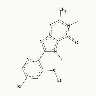 CCSc1cc(Br)cnc1-c1nc2cc(C(F)(F)F)n(C)c(=O)c2n1C